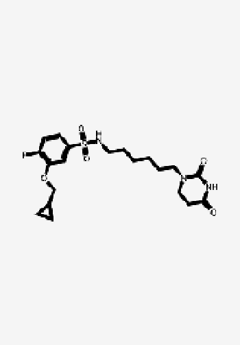 O=C1CCN(CCCCCCNS(=O)(=O)c2ccc(F)c(OCC3CC3)c2)C(=O)N1